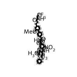 COc1cc(CCC(=O)NCC(F)(F)F)ccc1-c1ccc(C(=O)NS(=O)(=O)c2ccc(NC(CCSc3ccccc3)C(=O)N(C)C)c([N+](=O)[O-])c2)cc1